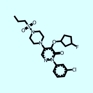 CCCS(=O)(=O)N1CCN(c2cnn(-c3cccc(Cl)c3)c(=O)c2OC2CCC(F)C2)CC1